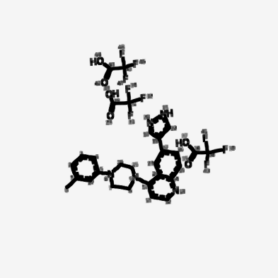 Cc1cccc(N2CCN(c3ccnc4ccc(-c5cn[nH]c5)cc34)CC2)c1.O=C(O)C(F)(F)F.O=C(O)C(F)(F)F.O=C(O)C(F)(F)F